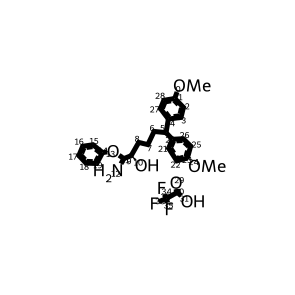 COc1ccc(C(CCC[C@H](O)C(N)Oc2ccccc2)c2ccc(OC)cc2)cc1.O=C(O)C(F)(F)F